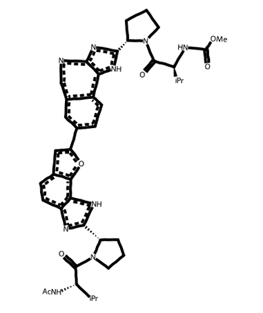 COC(=O)N[C@H](C(=O)N1CCC[C@H]1c1nc2ncc3cc(-c4cc5ccc6nc([C@@H]7CCCN7C(=O)[C@@H](NC(C)=O)C(C)C)[nH]c6c5o4)ccc3c2[nH]1)C(C)C